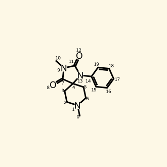 CN1CCC2(CC1)C(=O)N(C)C(=O)N2c1ccccc1